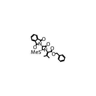 CS[C@@H]1[C@H](N2C(=O)c3ccccc3C2=O)C(=O)N1C(C(=O)OCc1ccccc1)=C(C)C